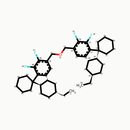 CC[C@H]1CC[C@H](C2(c3ccc(COCc4ccc(C5([C@H]6CC[C@H](CC)CC6)CCCCC5)c(F)c4F)c(F)c3F)CCCCC2)CC1